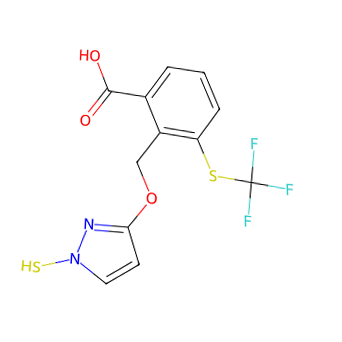 O=C(O)c1cccc(SC(F)(F)F)c1COc1ccn(S)n1